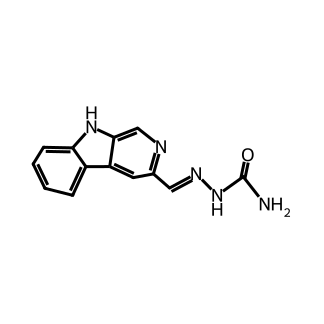 NC(=O)N/N=C/c1cc2c(cn1)[nH]c1ccccc12